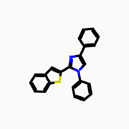 c1ccc(-c2cn(-c3ccccc3)c(-c3cc4ccccc4s3)n2)cc1